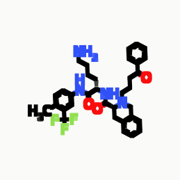 Cc1ccc(NC(=O)[C@H](CCCCN)NC(=O)[C@@H]2Cc3ccccc3CN2CCCC(=O)c2ccccc2)cc1C(F)(F)F